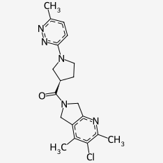 Cc1ccc(N2CC[C@@H](C(=O)N3Cc4nc(C)c(Cl)c(C)c4C3)C2)nn1